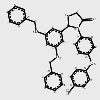 O=C1CSC(c2cc(OCc3ccccc3)cc(OCc3ccccc3)c2)N1c1ccc(Oc2ccc(Cl)cc2)cc1